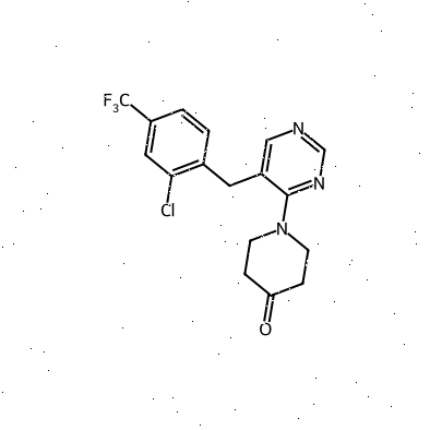 O=C1CCN(c2ncncc2Cc2ccc(C(F)(F)F)cc2Cl)CC1